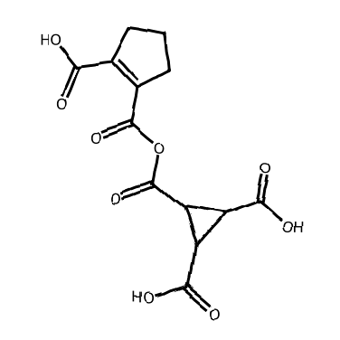 O=C(O)C1=C(C(=O)OC(=O)C2C(C(=O)O)C2C(=O)O)CCC1